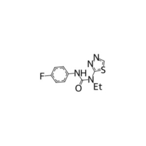 CCN(C(=O)Nc1ccc(F)cc1)c1nncs1